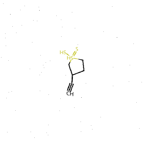 C#CC1CC[SH](=S)(S)C1